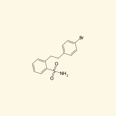 NS(=O)(=O)c1ccccc1CCc1ccc(Br)cc1